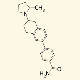 CC1CCCN1C1CCc2cc(-c3ccc(C(N)=O)cc3)ccc2C1